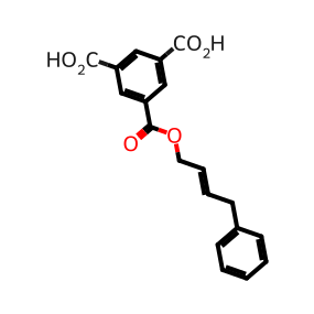 O=C(O)c1cc(C(=O)O)cc(C(=O)OCC=CCc2ccccc2)c1